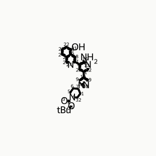 CC(C)(C)OC(=O)N1CCC(n2cc(-c3cnc(N)c(-c4cc5c(O)cccc5cn4)c3)cn2)CC1